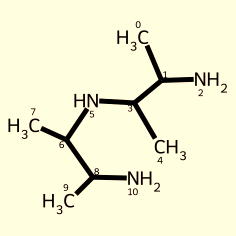 CC(N)C(C)NC(C)C(C)N